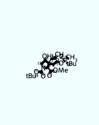 C=CC[C@]1(CCO[Si](C)(C)C(C)(C)C)C(O)CN(C(=O)OC(C)(C)C)[C@@H]1C(=O)OC